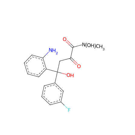 CN(O)C(=O)C(=O)CC(O)(c1cccc(F)c1)c1ccccc1N